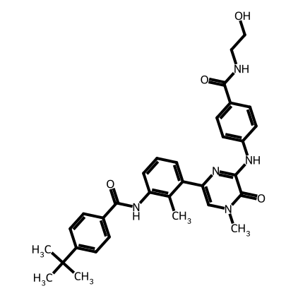 Cc1c(NC(=O)c2ccc(C(C)(C)C)cc2)cccc1-c1cn(C)c(=O)c(Nc2ccc(C(=O)NCCO)cc2)n1